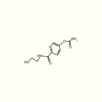 NC(=O)Oc1ccc(C(=O)NCCO)nc1